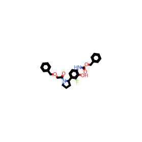 O=C(Nc1ccc(C2CCCN2C(=O)COCc2ccccc2)c(F)c1O)OCc1ccccc1